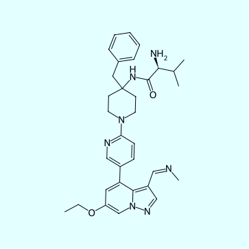 CCOc1cc(-c2ccc(N3CCC(Cc4ccccc4)(NC(=O)[C@@H](N)C(C)C)CC3)nc2)c2c(/C=N\C)cnn2c1